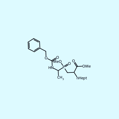 CCCCCCCC(CP(=O)(OC)C(C)NC(=O)OCc1ccccc1)C(=O)OC